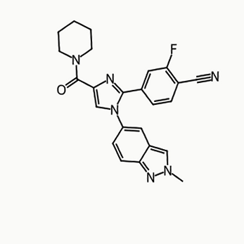 Cn1cc2cc(-n3cc(C(=O)N4CCCCC4)nc3-c3ccc(C#N)c(F)c3)ccc2n1